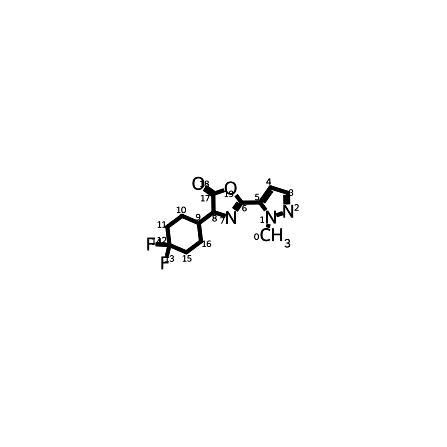 Cn1nccc1C1=NC(C2CCC(F)(F)CC2)C(=O)O1